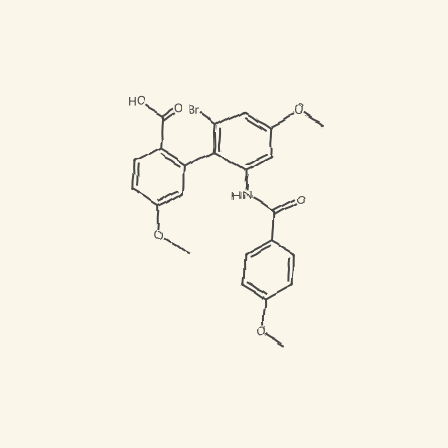 COc1ccc(C(=O)Nc2cc(OC)cc(Br)c2-c2cc(OC)ccc2C(=O)O)cc1